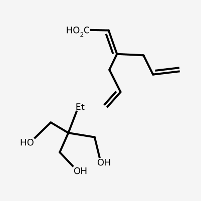 C=CCC(=CC(=O)O)CC=C.CCC(CO)(CO)CO